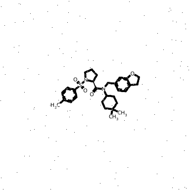 Cc1ccc(S(=O)(=O)N2CCC[C@H]2C(=O)N(Cc2ccc3c(c2)OCC3)C2CCC(C)(C)CC2)cc1